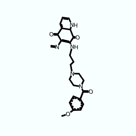 C=NC1=C(NCCCN2CCN(C(=O)c3ccc(OC)cc3)CC2)C(=O)C2NC=CC=C2C1=O